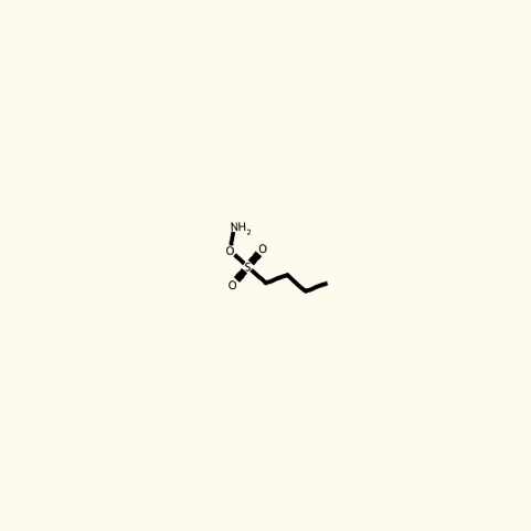 CCCCS(=O)(=O)ON